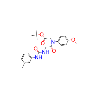 COc1ccc(N(CC(=O)OC(C)(C)C)C(=O)CNC(=O)Nc2cccc(C)c2)cc1